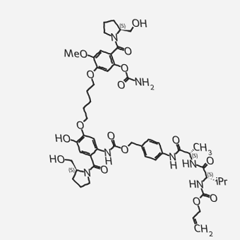 C=CCOC(=O)N[C@H](C(=O)N[C@@H](C)C(=O)Nc1ccc(COC(=O)Nc2cc(OCCCCCOc3cc(OC(N)=O)c(C(=O)N4CCC[C@H]4CO)cc3OC)c(O)cc2C(=O)N2CCC[C@H]2CO)cc1)C(C)C